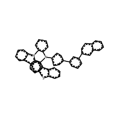 c1cc(-c2ccc(N(c3ccccc3-n3c4ccccc4c4ccccc43)c3cccc4sc5ccccc5c34)cc2)cc(-c2ccc3ccccc3c2)c1